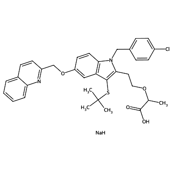 CC(OCCc1c(SC(C)(C)C)c2cc(OCc3ccc4ccccc4n3)ccc2n1Cc1ccc(Cl)cc1)C(=O)O.[NaH]